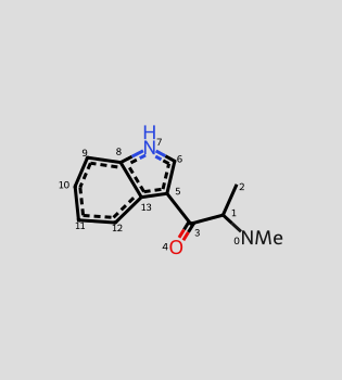 CNC(C)C(=O)c1c[nH]c2ccccc12